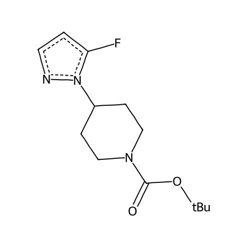 CC(C)(C)OC(=O)N1CCC(n2nccc2F)CC1